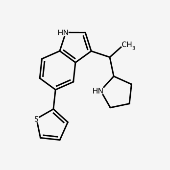 CC(c1c[nH]c2ccc(-c3cccs3)cc12)C1CCCN1